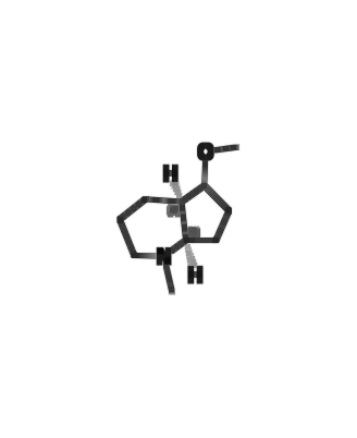 COC1CC[C@@H]2[C@H]1CCCN2C